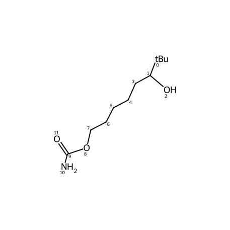 CC(C)(C)C(O)CCCCCOC(N)=O